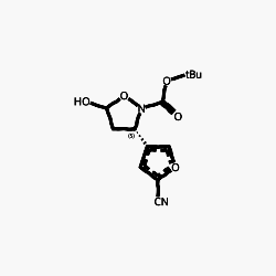 CC(C)(C)OC(=O)N1OC(O)C[C@H]1c1coc(C#N)c1